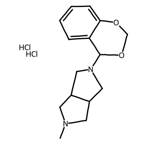 CN1CC2CN(C3OCOc4ccccc43)CC2C1.Cl.Cl